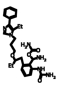 CCc1c(-c2ccccc2)ncn1CCCOC(CC)Cc1cccc(NC(N)=O)c1C(N)OC(N)=O